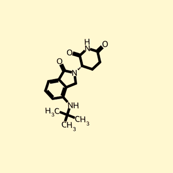 CC(C)(C)Nc1cccc2c1CN([C@H]1CCC(=O)NC1=O)C2=O